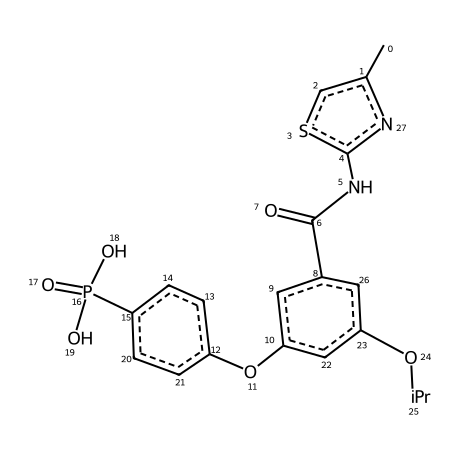 Cc1csc(NC(=O)c2cc(Oc3ccc(P(=O)(O)O)cc3)cc(OC(C)C)c2)n1